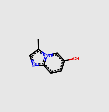 Cc1cnc2ccc(O)cn12